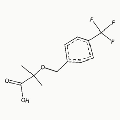 CC(C)(OCc1ccc(C(F)(F)F)cc1)C(=O)O